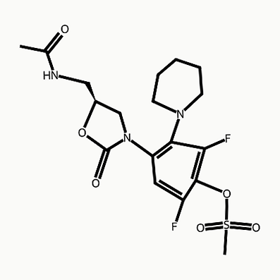 CC(=O)NC[C@H]1CN(c2cc(F)c(OS(C)(=O)=O)c(F)c2N2CCCCC2)C(=O)O1